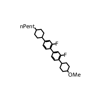 CCCCCC1CCC(c2ccc(-c3ccc(C4CCC(OC)CC4)c(F)c3)c(F)c2)CC1